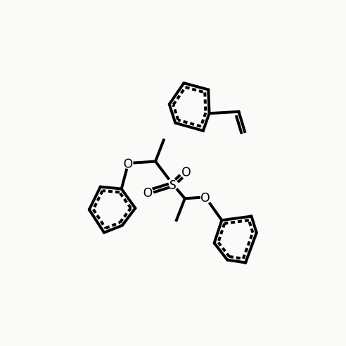 C=Cc1ccccc1.CC(Oc1ccccc1)S(=O)(=O)C(C)Oc1ccccc1